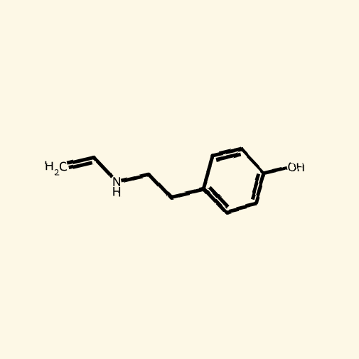 C=CNCCc1ccc(O)cc1